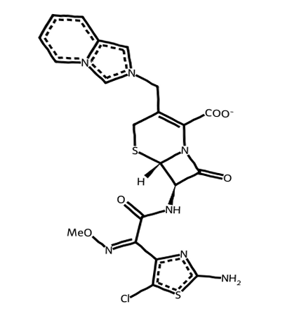 CO/N=C(\C(=O)N[C@@H]1C(=O)N2C(C(=O)[O-])=C(Cn3cc4cccc[n+]4c3)CS[C@@H]12)c1nc(N)sc1Cl